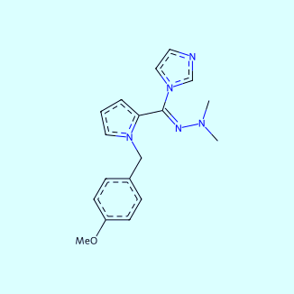 COc1ccc(Cn2cccc2C(=NN(C)C)n2ccnc2)cc1